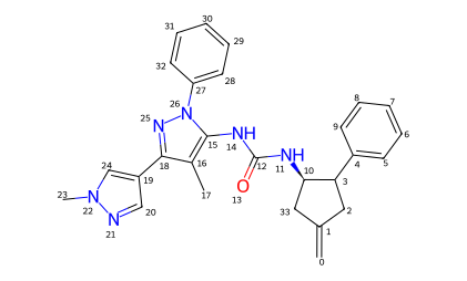 C=C1CC(c2ccccc2)[C@H](NC(=O)Nc2c(C)c(-c3cnn(C)c3)nn2-c2ccccc2)C1